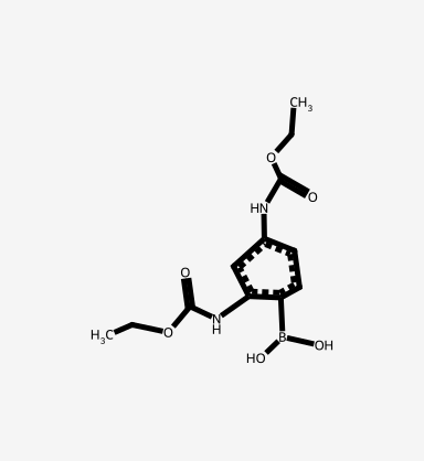 CCOC(=O)Nc1ccc(B(O)O)c(NC(=O)OCC)c1